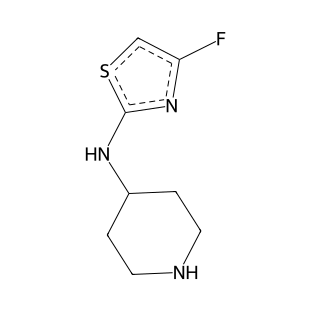 Fc1csc(NC2CCNCC2)n1